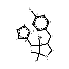 CC1(C)OCC(Cc2ccc(Cl)cc2)C1(O)Cc1ncc[nH]1